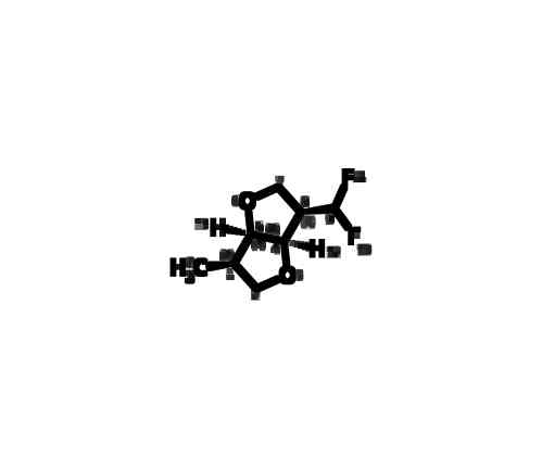 C[C@@H]1CO[C@H]2[C@@H]1OC[C@H]2C(F)F